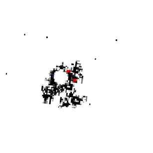 Cc1cn2c(n1)nc(O[C@@H]1C[C@H]3C(=O)N[C@]4(C(=O)NS(=O)(=O)C5(CF)CC5)C[C@H]4/C=C\CC[C@H](C)C[C@@H](C)[C@H](N(C(=O)O)C(C)(C)C(F)(F)F)C(=O)N3C1)c1cc(Cl)ccc12